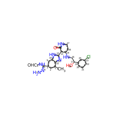 Cc1cc(/C(=N/N)NC=O)cc2[nH]c(-c3c(NCC(O)c4cccc(Cl)c4)cc[nH]c3=O)nc12